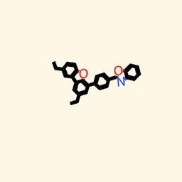 CCc1ccc2oc3c(-c4ccc(-c5nc6ccccc6o5)cc4)cc(CC)cc3c2c1